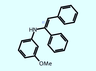 COc1cccc(N/C(=C/c2ccccc2)c2ccccc2)c1